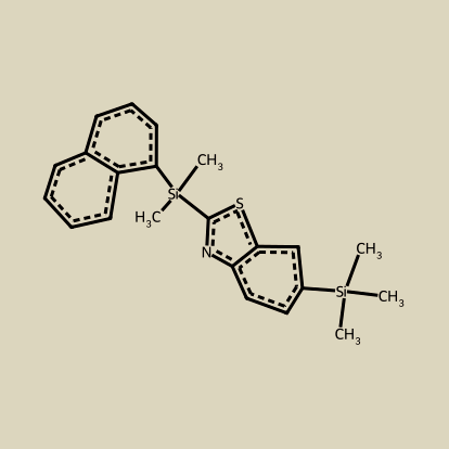 C[Si](C)(C)c1ccc2nc([Si](C)(C)c3cccc4ccccc34)sc2c1